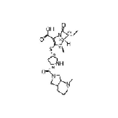 CC[C@H]1C(=O)N2C(C(=O)O)=C(S[C@@H]3CN[C@H](C(=O)N4CC5CCCN(C)C5C4)C3)[C@H](C)[C@H]12